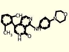 Cc1cccc(C)c1-c1c[nH]c(=O)c2c(Nc3ccc(N4CCOCC4)cc3)nccc12